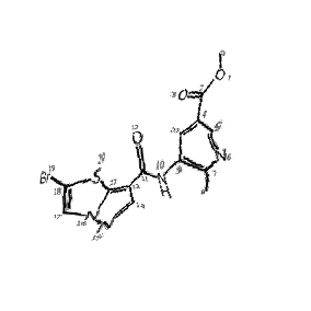 COC(=O)c1cnc(C)c(NC(=O)c2cnn3cc(Br)sc23)c1